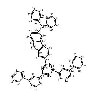 c1ccc(-c2cccc(-c3nc(-c4cccc(-c5ccccc5)c4)nc(-c4ccc5c(c4)oc4ccc(-n6c7ccccc7c7ccccc76)cc45)n3)c2)cc1